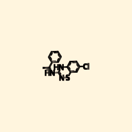 C[C@H](NC1=NSc2cc(Cl)ccc2N1)c1ccccc1